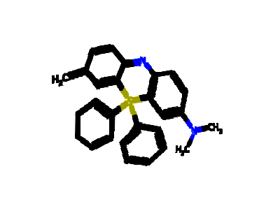 C=c1ccc2c(c1)S(C1=CCCC=C1)(c1ccccc1)c1cc(N(C)C)ccc1N=2